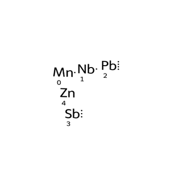 [Mn].[Nb].[Pb].[Sb].[Zn]